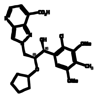 COc1cc([C@@H](O)[C@H](Cn2cc3nccc(C(=O)O)c3n2)OC2CCCC2)c(Cl)c(OC)c1C